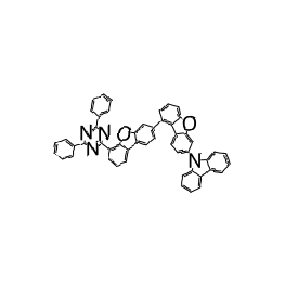 c1ccc(-c2nc(-c3ccccc3)nc(-c3cccc4c3oc3cc(-c5cccc6oc7cc(-n8c9ccccc9c9ccccc98)ccc7c56)ccc34)n2)cc1